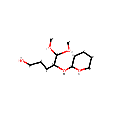 COC(OC)C(CCCO)OC1CCCCO1